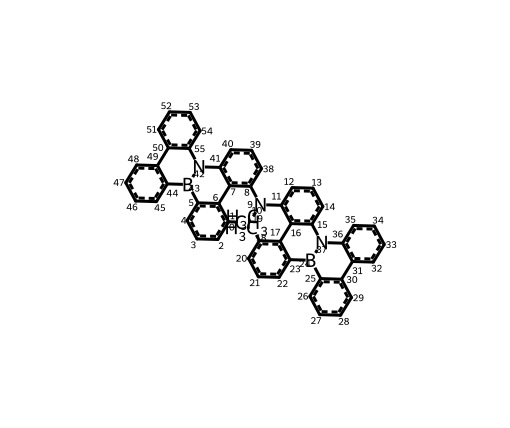 Cc1cccc2c1-c1c(N(C)c3cccc4c3-c3c(C)cccc3B3c5ccccc5-c5ccccc5N34)cccc1N1B2c2ccccc2-c2ccccc21